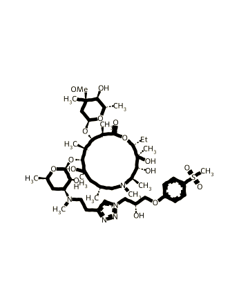 CC[C@H]1OC(=O)[C@H](C)[C@@H](O[C@H]2C[C@@](C)(OC)[C@@H](O)[C@H](C)O2)[C@H](C)[C@@H](O[C@@H]2O[C@H](C)C[C@H](N(C)CCc3cn(C[C@@H](O)COc4ccc(S(C)(=O)=O)cc4)nn3)[C@H]2O)[C@](C)(O)C[C@@H](C)CN(C)[C@H](C)[C@@H](O)[C@]1(C)O